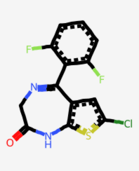 O=C1CN=C(c2c(F)cccc2F)c2cc(Cl)sc2N1